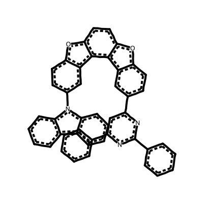 c1ccc(-c2cc(-c3ccc4oc5ccc6oc7ccc(-n8c9ccccc9c9ccccc98)cc7c6c5c4c3)nc(-c3ccccc3)n2)cc1